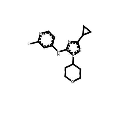 Clc1cc(Nc2nc(C3CC3)nn2C2CCOCC2)ccn1